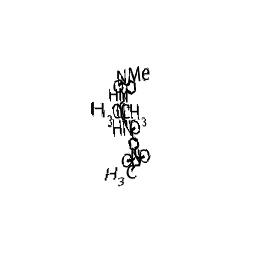 CNC(=O)c1ccccc1NCC[N+](C)(C)CCNC(=O)c1ccc(N2C(=O)CC(C)C2=O)cc1